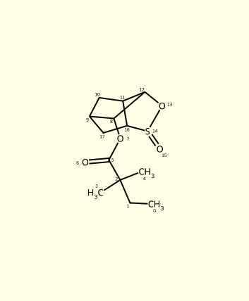 CCC(C)(C)C(=O)OC1C2CC3C1OS(=O)C3C2